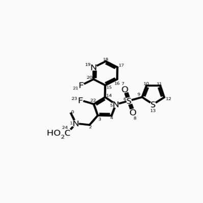 CN(Cc1cn(S(=O)(=O)c2cccs2)c(-c2cccnc2F)c1F)C(=O)O